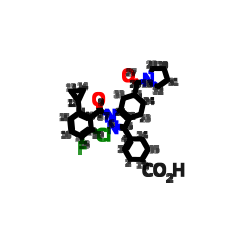 O=C(O)C1CC=C(c2nn(C(=O)c3c(C4CC4)ccc(F)c3Cl)c3c2CCC(C(=O)N2CCCC2)C3)CC1